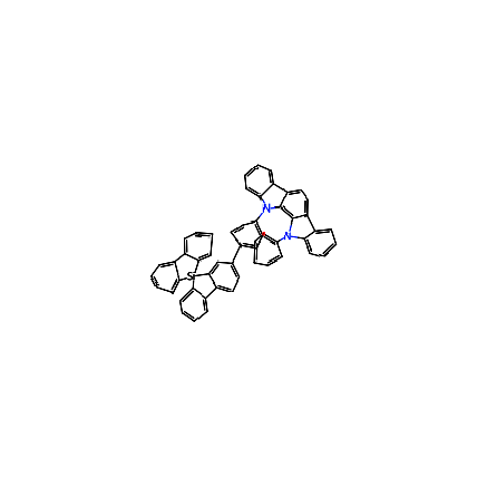 c1ccc(-n2c3ccccc3c3ccc4c5ccccc5n(-c5ccc(-c6ccc7c(c6)[Si]6(c8ccccc8-c8ccccc86)c6ccccc6-7)cc5)c4c32)cc1